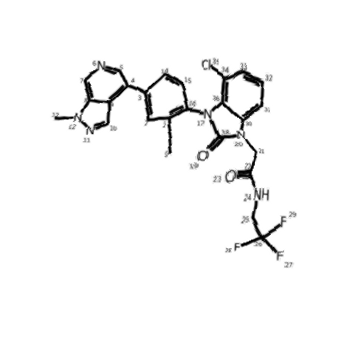 Cc1cc(-c2cncc3c2cnn3C)ccc1-n1c(=O)n(CC(=O)NCC(F)(F)F)c2cccc(Cl)c21